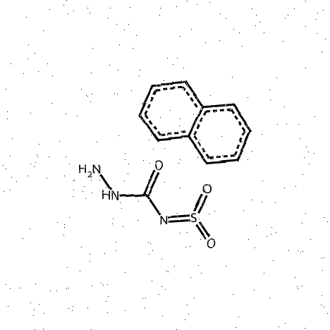 NNC(=O)N=S(=O)=O.c1ccc2ccccc2c1